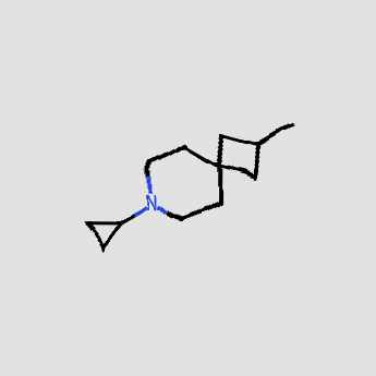 CC1CC2(CCN(C3CC3)CC2)C1